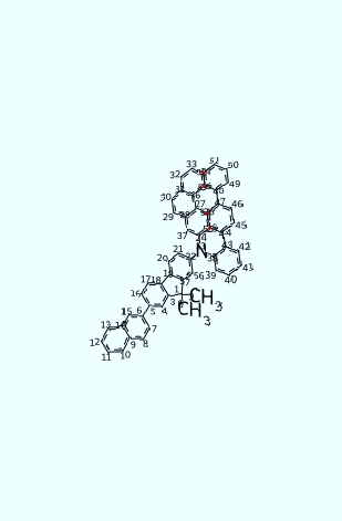 CC1(C)c2cc(-c3ccc4ccccc4c3)ccc2-c2ccc(N(c3ccc4c(ccc5ccccc54)c3)c3ccccc3-c3ccc(-c4ccccc4)cc3)cc21